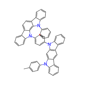 Cc1ccc(-n2c3ccccc3c3cc4c5ccccc5n(-c5ccc(-n6c7ccccc7c7ccc8c9ccccc9n(-c9ccccc9)c8c76)cc5)c4cc32)cc1